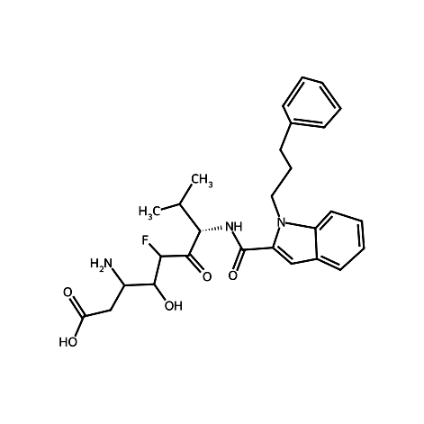 CC(C)[C@H](NC(=O)c1cc2ccccc2n1CCCc1ccccc1)C(=O)C(F)C(O)C(N)CC(=O)O